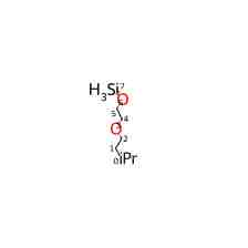 CC(C)CCOCCO[SiH3]